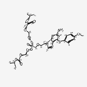 COc1ccc(Sc2nc(N)nc3c2ncn3CCOCP(=O)(OOCOC(=O)OC(C)C)OOCOC(=O)OC(C)C)cc1